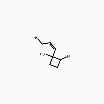 CCC1CCC1(C)/C=C\CS